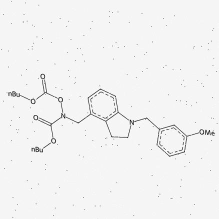 CCCCOC(=O)ON(Cc1cccc2c1CCN2Cc1cccc(OC)c1)C(=O)OCCCC